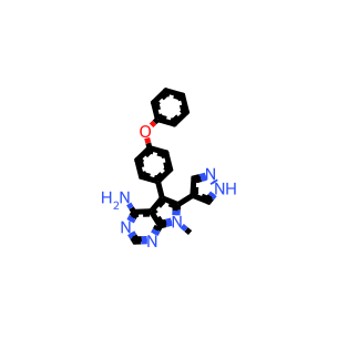 Cn1c(-c2cn[nH]c2)c(-c2ccc(Oc3ccccc3)cc2)c2c(N)ncnc21